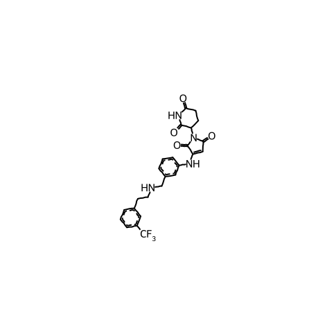 O=C1CCC(N2C(=O)C=C(Nc3cccc(CNCCc4cccc(C(F)(F)F)c4)c3)C2=O)C(=O)N1